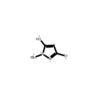 CCc1cc(O)n(C(C)(C)C)n1